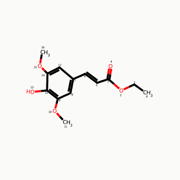 CCOC(=O)/C=C/c1cc(OC)c(O)c(OC)c1